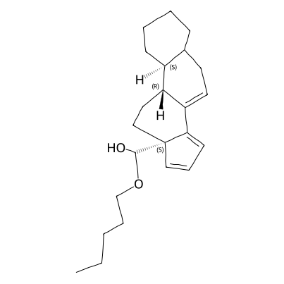 CCCCCOC(O)[C@@]12C=CC=C1C1=CCC3CCCC[C@@H]3[C@H]1CC2